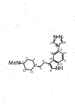 CN[C@H]1CC[C@@H](CCc2c[nH]c3ccc(-n4cnnc4)cc23)CC1